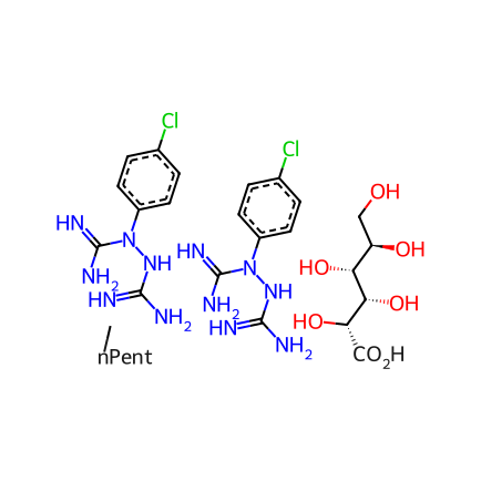 CCCCCC.N=C(N)NN(C(=N)N)c1ccc(Cl)cc1.N=C(N)NN(C(=N)N)c1ccc(Cl)cc1.O=C(O)[C@H](O)[C@@H](O)[C@H](O)[C@H](O)CO